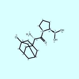 N[C@H](C(=O)N1CCC[C@H]1B(O)O)C12CC3CC(CC(Cl)(C3)C1)C2